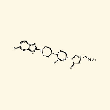 CC(=O)NC[C@H]1CN(c2ccc(N3CCN(c4nc5ccc(F)cc5o4)CC3)c(F)c2)C(=O)O1